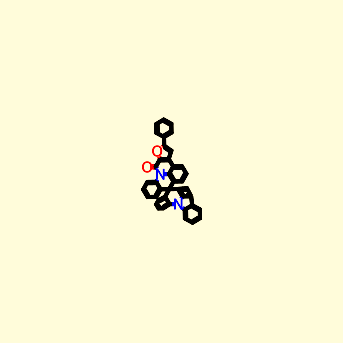 O=c1c2oc(-c3ccccc3)cc2c2cccc3c2n1-c1ccccc1C31c2ccccc2-n2c3ccccc3c3cccc1c32